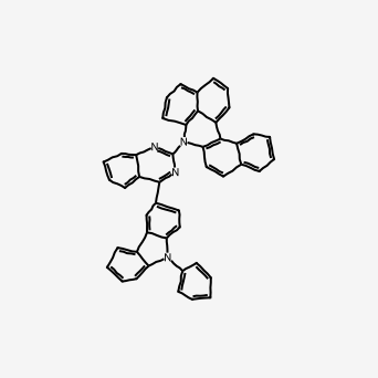 c1ccc(-n2c3ccccc3c3cc(-c4nc(N5c6ccc7ccccc7c6-c6cccc7cccc5c67)nc5ccccc45)ccc32)cc1